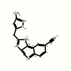 Cc1cc(Cc2nc3cnc4ccc(C#N)cc4c3[nH]2)on1